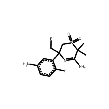 CC1(C)C(N)=NC(CF)(c2cc(N)ccc2F)CS1(=O)=O